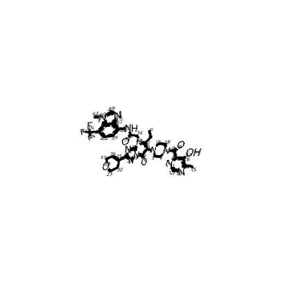 CCc1c(N2CCN(C(=O)c3ncnc(C)c3O)CC2)c(=O)n2nc(C3=CCOCC3)nc2n1CC(=O)Nc1ccc(C(F)(F)F)c2c1ncn2C